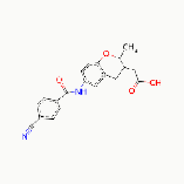 CC1Oc2ccc(NC(=O)c3ccc(C#N)cc3)cc2CC1CC(=O)O